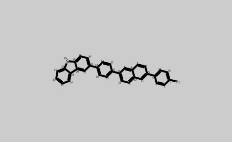 Fc1ccc(-c2ccc3cc(-c4ccc(-c5ccc6sc7ccccc7c6c5)cc4)ccc3c2)cc1